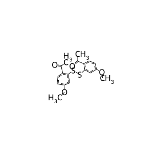 COc1ccc(C(C)=O)c(SSc2cc(OC)ccc2C(C)=O)c1